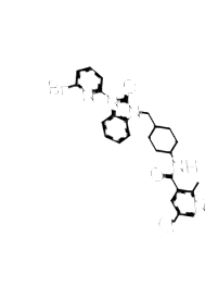 Cc1ncc(Cl)cc1C(=O)NC1CCC(Cn2c(=O)n(-c3cccc(Br)n3)c3ccccc32)CC1